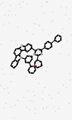 c1ccc(-c2ccc(-c3nc(-c4ccccc4)nc(-c4ccc5oc6ccc7c8ccccc8n(-c8cccc(-c9ccccc9)c8)c7c6c5c4)n3)cc2)cc1